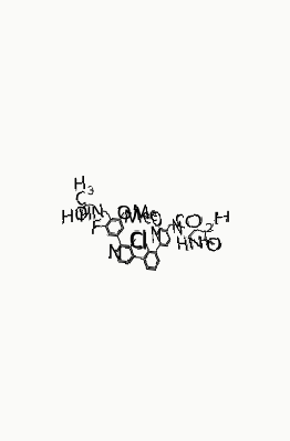 COc1cc(-c2nccc(-c3cccc(-c4ccc(CN(C[C@@H]5CCC(=O)N5)C(=O)O)c(OC)n4)c3Cl)c2Cl)cc(F)c1CNC[C@@H](C)O